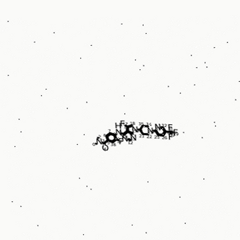 CN(C)C(=O)c1ccc(Nc2ncnc3c2c(F)cn3C2CCN(c3ccc(C(F)(F)F)cn3)CC2)c(F)c1